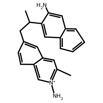 Cc1cc2cc(CC(C)c3cc4ccccc4cc3N)ccc2c[n+]1N